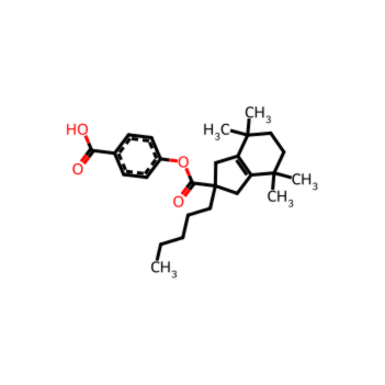 CCCCCC1(C(=O)Oc2ccc(C(=O)O)cc2)CC2=C(C1)C(C)(C)CCC2(C)C